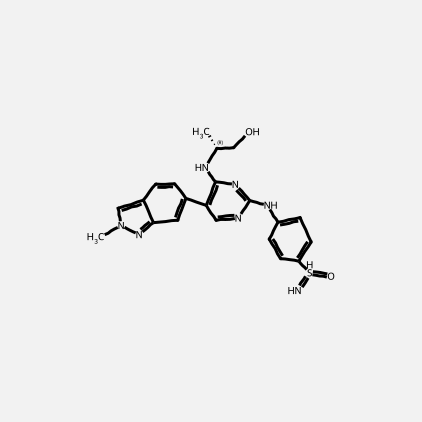 C[C@H](CO)Nc1nc(Nc2ccc([SH](=N)=O)cc2)ncc1-c1ccc2cn(C)nc2c1